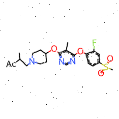 CC(=O)C(C)CN1CCC(Oc2ncnc(Oc3ccc(S(C)(=O)=O)cc3F)c2C)CC1